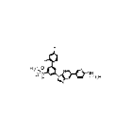 CS(=O)(=O)Nc1cc(-c2ccc(F)cc2F)cc(-n2cnc3cc(-c4ccc(NC(=O)O)nc4)cnc32)c1